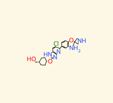 CC1(Oc2ccc(-c3nc4nc(O[C@H]5CC[C@H](CO)CC5)[nH]c4cc3Cl)cc2N)CNC1